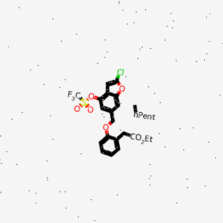 CCCCCC.CCOC(=O)Cc1ccccc1OCc1cc(OS(=O)(=O)C(F)(F)F)c2cc(Cl)oc2c1